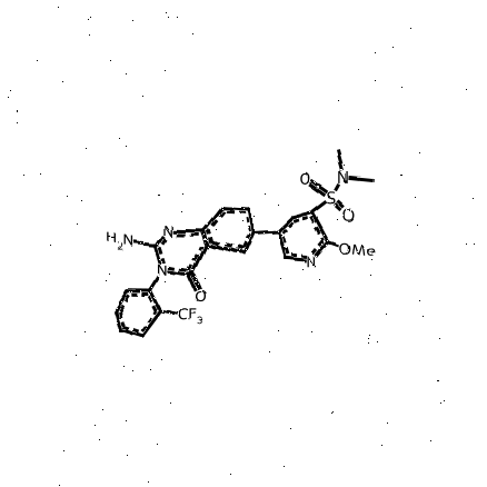 COc1ncc(-c2ccc3nc(N)n(-c4ccccc4C(F)(F)F)c(=O)c3c2)cc1S(=O)(=O)N(C)C